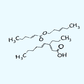 CCC=CCCOC(=O)C=CCCC.CCCCC=CC(=CC(=O)O)CCC